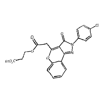 CCOC(=O)CCOC(=O)Cc1oc2ccccc2c2nn(-c3ccc(Cl)cc3)c(=O)c1-2